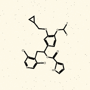 O=C(OC(Cc1c(Cl)cncc1Cl)c1ccc(OC(F)F)c(OCC2CC2)c1)c1ccc[nH]1